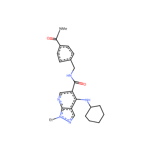 CCn1ncc2c(NC3CCCCC3)c(C(=O)NCc3ccc(C(=O)NC)cc3)cnc21